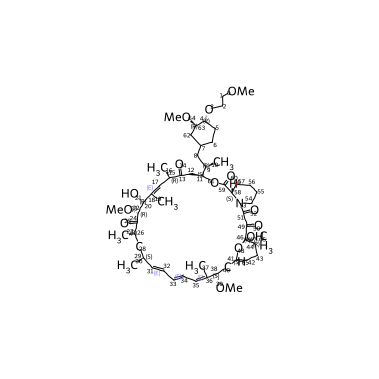 COCCO[C@@H]1CCC(C[C@@H](C)[C@@H]2CC(=O)[C@H](C)/C=C(\C)[C@@H](O)[C@@H](OC)C(=O)[C@H](C)C[C@H](C)/C=C/C=C/C=C(\C)[C@@H](OC)C[C@@H]3CC[C@@H](C)[C@@](O)(O3)C(=O)C(=O)N3CCCC[C@H]3C(=O)O2)C[C@H]1OC